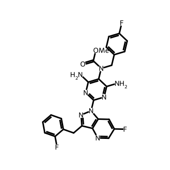 COC(=O)N(Cc1ccc(F)cc1)c1c(N)nc(-n2nc(Cc3ccccc3F)c3ncc(F)cc32)nc1N